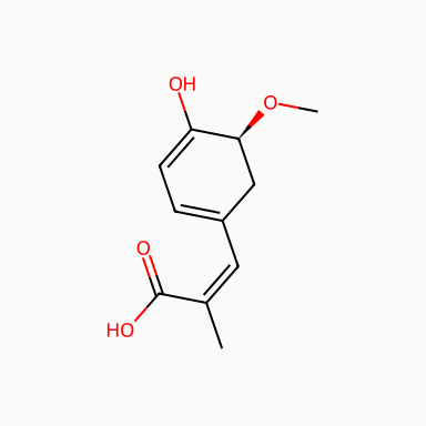 CO[C@H]1CC(/C=C(/C)C(=O)O)=CC=C1O